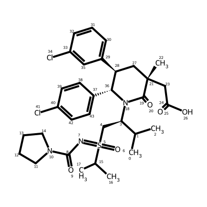 CC(C)[C@@H](CS(=O)(=NC(=O)N1CCCC1)C(C)C)N1C(=O)[C@@](C)(CC(=O)O)C[C@H](c2cccc(Cl)c2)[C@H]1c1ccc(Cl)cc1